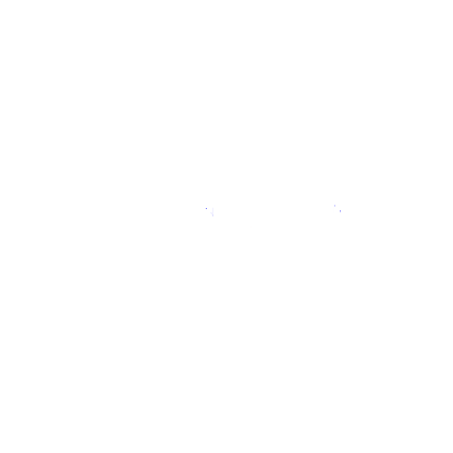 CCCCOc1c(C)c(COc2cccc(N3CCOC3=O)c2)nc2ccccc12